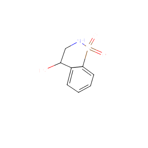 O=S1(=O)NCC(O)c2ccccc21